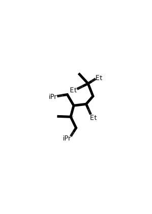 CCC(CC(C)(CC)CC)C(CC(C)C)[C](C)CC(C)C